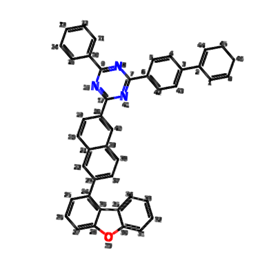 C1=CC(c2ccc(-c3nc(-c4ccccc4)nc(-c4ccc5cc(-c6cccc7oc8ccccc8c67)ccc5c4)n3)cc2)=CCC1